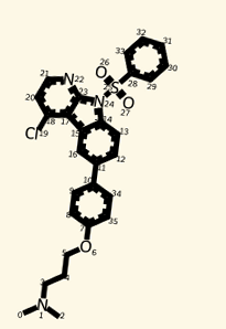 CN(C)CCCOc1ccc(-c2ccc3c(c2)c2c(Cl)ccnc2n3S(=O)(=O)c2ccccc2)cc1